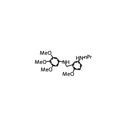 CCCNc1ccc(OC)c(CNc2cc(OC)c(OC)c(OC)c2)c1